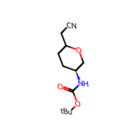 CC(C)(C)OC(=O)N[C@H]1CCC(CC#N)OC1